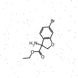 CCOC(=O)C1(N)COc2cc(Br)ccc21